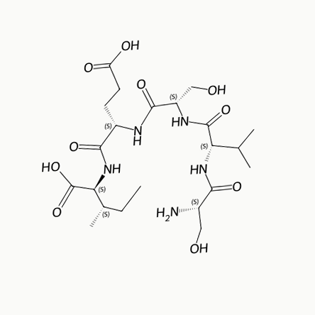 CC[C@H](C)[C@H](NC(=O)[C@H](CCC(=O)O)NC(=O)[C@H](CO)NC(=O)[C@@H](NC(=O)[C@@H](N)CO)C(C)C)C(=O)O